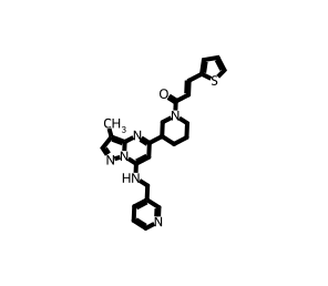 Cc1cnn2c(NCc3cccnc3)cc(C3CCCN(C(=O)/C=C/c4cccs4)C3)nc12